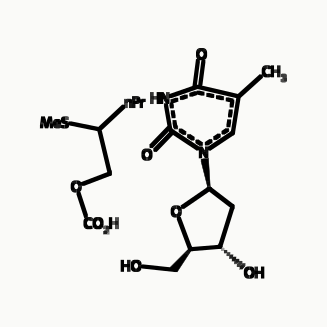 CCCC(COC(=O)O)SC.Cc1cn([C@H]2C[C@H](O)[C@@H](CO)O2)c(=O)[nH]c1=O